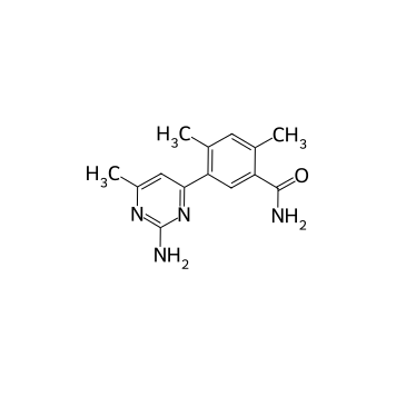 Cc1cc(-c2cc(C(N)=O)c(C)cc2C)nc(N)n1